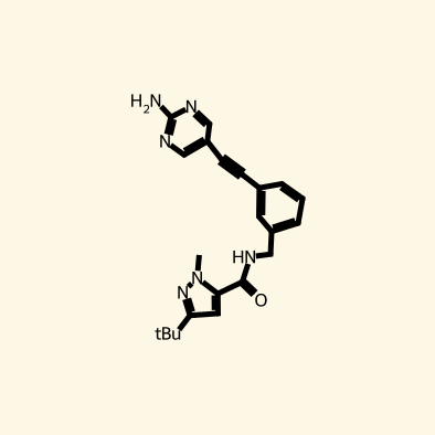 Cn1nc(C(C)(C)C)cc1C(=O)NCc1cccc(C#Cc2cnc(N)nc2)c1